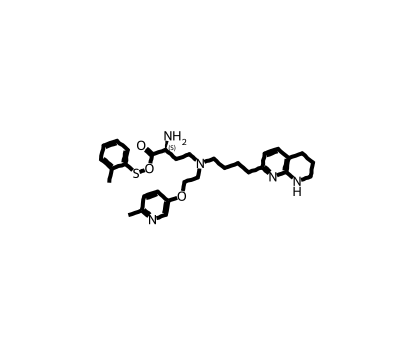 Cc1ccc(OCCN(CCCCc2ccc3c(n2)NCCC3)CC[C@H](N)C(=O)OSc2ccccc2C)cn1